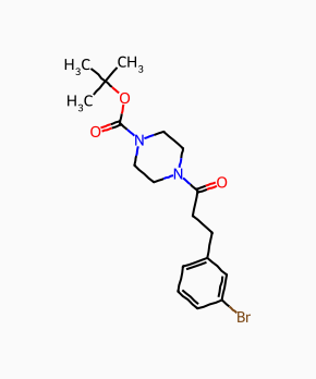 CC(C)(C)OC(=O)N1CCN(C(=O)CCc2cccc(Br)c2)CC1